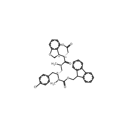 CN(C[C@@H](Cc1ccc(Cl)cc1)N(C)C(=O)OCC1c2ccccc2-c2ccccc21)C(=O)[C@@H](CC(=O)O)[C@H]1COc2ccccc21